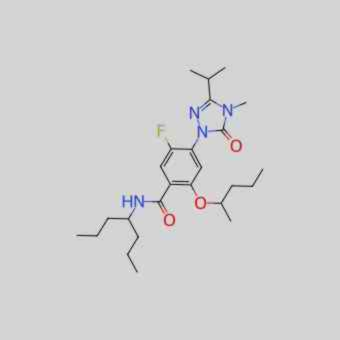 CCCC(CCC)NC(=O)c1cc(F)c(-n2nc(C(C)C)n(C)c2=O)cc1OC(C)CCC